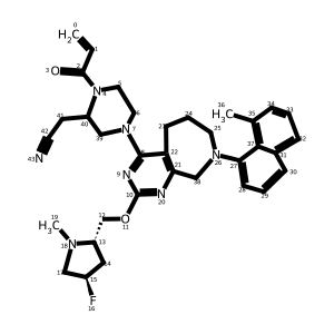 C=CC(=O)N1CCN(c2nc(OC[C@@H]3C[C@@H](F)CN3C)nc3c2CCCN(c2cccc4cccc(C)c24)C3)CC1CC#N